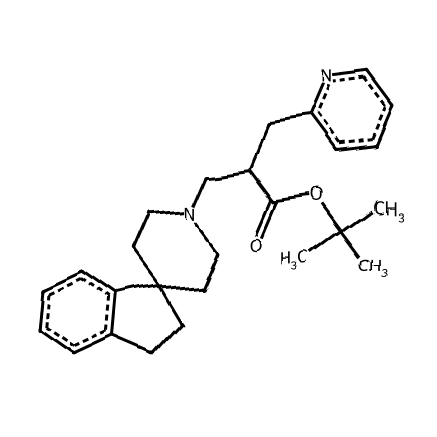 CC(C)(C)OC(=O)C(Cc1ccccn1)CN1CCC2(CCc3ccccc32)CC1